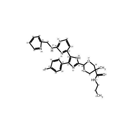 CCCNC(=O)C1(C)COC(c2nc(-c3ccc(F)cc3)c(-c3ccnc(NCc4ccccn4)n3)[nH]2)OC1